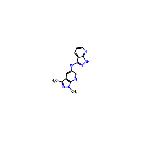 Cc1nn(C)c2ncc(Nc3n[nH]c4ncccc34)cc12